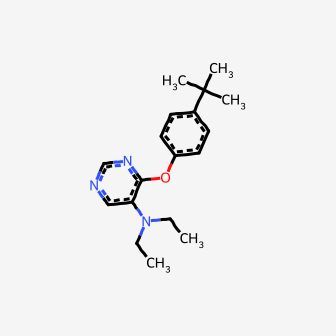 CCN(CC)c1cncnc1Oc1ccc(C(C)(C)C)cc1